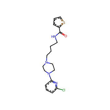 O=C(NCCCCN1CCN(c2cccc(Cl)n2)CC1)c1cccs1